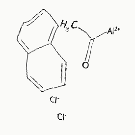 C[C](=O)[Al+2].[Cl-].[Cl-].c1ccc2ccccc2c1